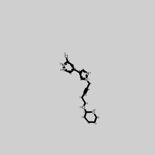 Clc1cc(-c2cnn(CC#CCCOC3CCCCO3)c2)cnn1